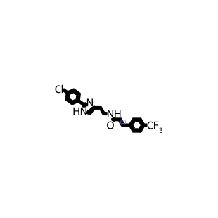 O=C(/C=C/c1ccc(C(F)(F)F)cc1)NCCc1c[nH]c(-c2ccc(Cl)cc2)n1